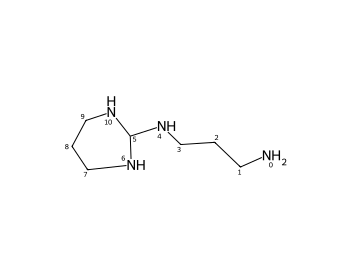 NCCCNC1NCCCN1